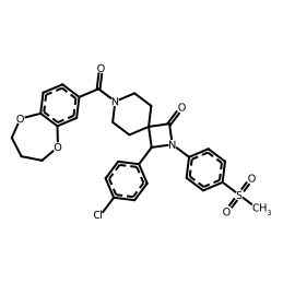 CS(=O)(=O)c1ccc(N2C(=O)C3(CCN(C(=O)c4ccc5c(c4)OCCCO5)CC3)C2c2ccc(Cl)cc2)cc1